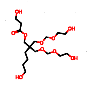 O=C(CCO)OCC(CCCCO)(COCOCCO)COCOCCO